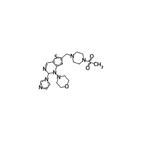 CS(=O)(=O)N1CCN(Cc2cc3c(s2)C=NC(n2ccnc2)N3N2CCOCC2)CC1